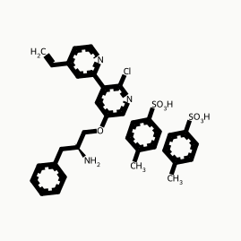 C=Cc1ccnc(-c2cc(OC[C@@H](N)Cc3ccccc3)cnc2Cl)c1.Cc1ccc(S(=O)(=O)O)cc1.Cc1ccc(S(=O)(=O)O)cc1